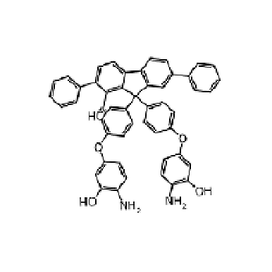 C#Cc1c(-c2ccccc2)ccc2c1C(c1ccc(Oc3ccc(N)c(O)c3)cc1)(c1ccc(Oc3ccc(N)c(O)c3)cc1)c1cc(-c3ccccc3)ccc1-2